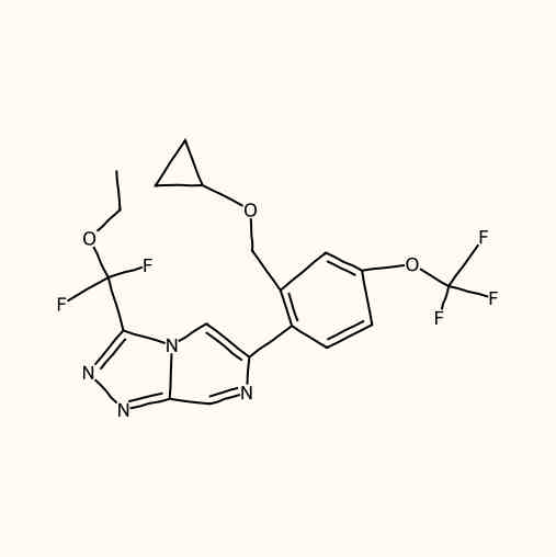 CCOC(F)(F)c1nnc2cnc(-c3ccc(OC(F)(F)F)cc3COC3CC3)cn12